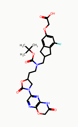 CC(C)(C)OC(=O)N(CCC1CN(c2cnc3c(n2)NC(=O)CO3)C(=O)O1)CC1Cc2cc(OCC(=O)O)cc(F)c2C1